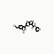 O=C(Nc1cccnc1)c1c[nH]c2ncc(-c3n[nH]c4cc(CCl)ccc34)nc12